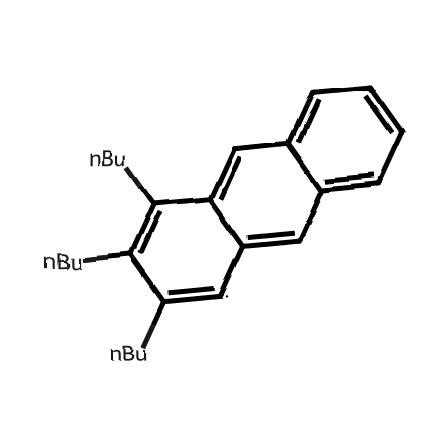 CCCCc1[c]c2cc3ccccc3cc2c(CCCC)c1CCCC